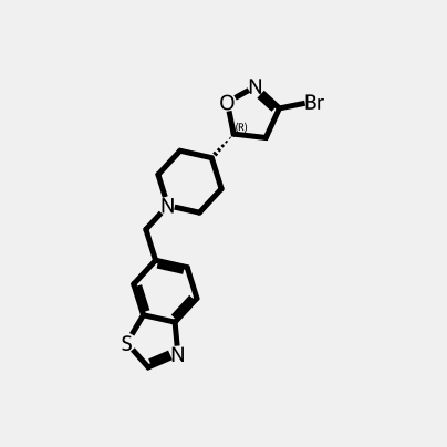 BrC1=NO[C@@H](C2CCN(Cc3ccc4ncsc4c3)CC2)C1